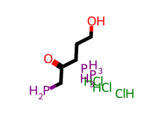 Cl.Cl.Cl.O=C(CP)CCCO.P.P